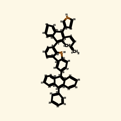 C=C/C=C\c1c(C)c(-c2cccc3c2sc2ccc(-c4c5ccccc5c(-c5ccccc5)c5ccccc45)cc23)c2ccccc2c1-c1ccsc1